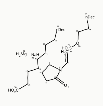 C=CN1CCCC1=O.CCCCCCCCCCCCCCCCCC(=O)O.CCCCCCCCCCCCOS(=O)(=O)O.[MgH2].[NaH]